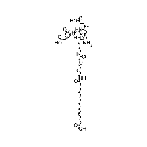 C[C@@H](CCC(=O)O)C(=O)N[C@@H](CCCCN(CC(=O)O)CC(=O)O)C(=O)N[C@@H](CCCCNC(=O)COCCOCCNC(=O)CCCCCCCCCCCCCCCC(=O)O)C(N)=O